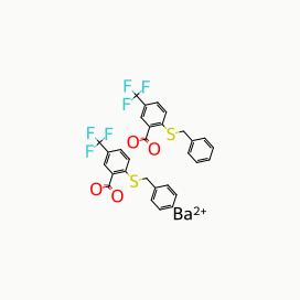 O=C([O-])c1cc(C(F)(F)F)ccc1SCc1ccccc1.O=C([O-])c1cc(C(F)(F)F)ccc1SCc1ccccc1.[Ba+2]